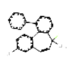 Cc1ccc2c(c1)C=CC(C)(F)c1cccc(-c3ccccc3)c1-2